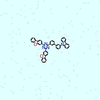 c1cc(-c2cccc(-n3c4ccccc4c4ccccc43)c2)cc(-c2nc(-c3ccc4c(c3)oc3ccccc34)nc(-c3ccc4c(c3)oc3ccccc34)n2)c1